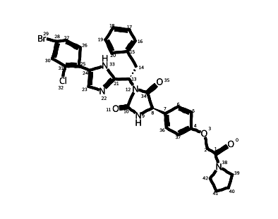 O=C(COc1ccc([C@H]2NC(=O)N([C@@H](Cc3ccccc3)c3ncc(-c4ccc(Br)cc4Cl)[nH]3)C2=O)cc1)N1CCCC1